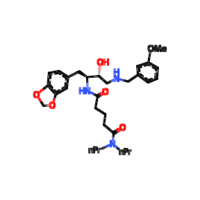 CCCN(CCC)C(=O)CCCC(=O)N[C@@H](Cc1ccc2c(c1)OCO2)[C@H](O)CNCc1cccc(OC)c1